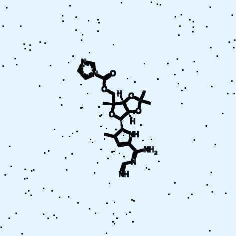 CC1C=C(/C(N)=N\C=N)NC1[C@@H]1O[C@](C)(COC(=O)n2ccnc2)[C@H]2OC(C)(C)O[C@@H]12